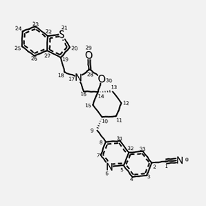 N#Cc1ccc2ncc(C[C@H]3CCC[C@]4(C3)CN(Cc3csc5ccccc35)C(=O)O4)cc2c1